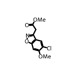 COC(=O)Cc1noc2cc(OC)c(Cl)cc12